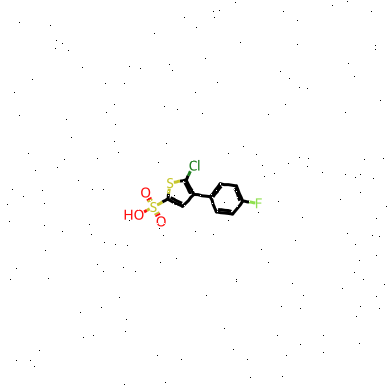 O=S(=O)(O)c1cc(-c2ccc(F)cc2)c(Cl)s1